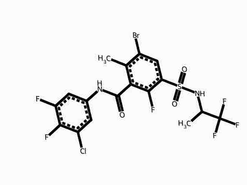 Cc1c(Br)cc(S(=O)(=O)NC(C)C(F)(F)F)c(F)c1C(=O)Nc1cc(F)c(F)c(Cl)c1